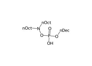 CCCCCCCCCCOP(=O)(O)ON(CCCCCCCC)CCCCCCCC